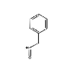 O=[PH]Cc1ccccc1